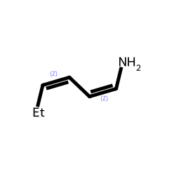 CC/C=C\C=C/N